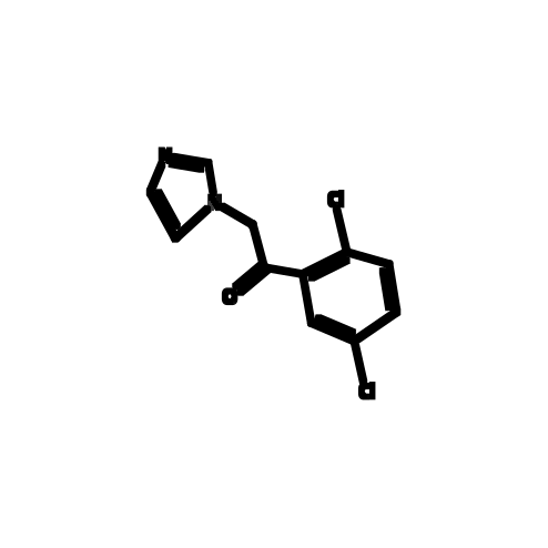 O=C(Cn1ccnc1)c1cc(Cl)ccc1Cl